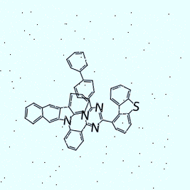 c1ccc(-c2ccc(-c3nc(-c4ccccc4-n4c5ccccc5c5cc6ccccc6cc54)nc(-c4cccc5sc6ccccc6c45)n3)cc2)cc1